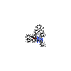 CC(C)(C)c1ccccc1-c1ccc(-c2cccc(-c3cccc4cccc(-c5ccc(-c6nc(-c7ccccc7)nc(-c7ccccc7)n6)cc5)c34)c2)cc1